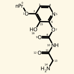 CCCOc1ccnc(OC(=O)NC(=O)CN)c1O